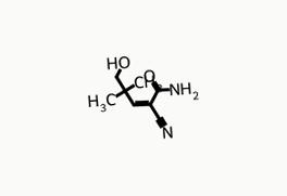 CC(C)(C=C(C#N)C(N)=O)CO